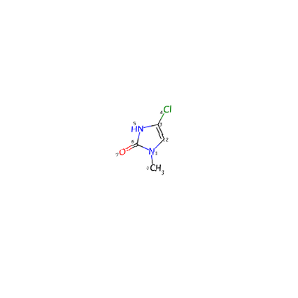 Cn1[c]c(Cl)[nH]c1=O